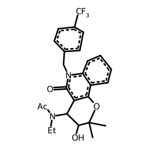 CCN(C(C)=O)C1c2c(c3ccccc3n(Cc3ccc(C(F)(F)F)cc3)c2=O)OC(C)(C)C1O